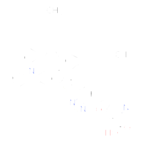 CCCCCCc1ccc(C2(c3ccc(CCCCCC)cc3)c3cc(N(c4ccccc4)c4ccccc4)ccc3-c3sc(-c4ccc(-c5ccc(/C=C(\C#N)C(=O)O)o5)c5nsnc45)cc32)cc1